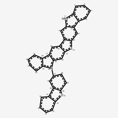 c1ccc2c(c1)[nH]c1cc3c(cc12)sc1cc2c(cc13)c1ccccc1n2-c1ccc2oc3ccccc3c2c1